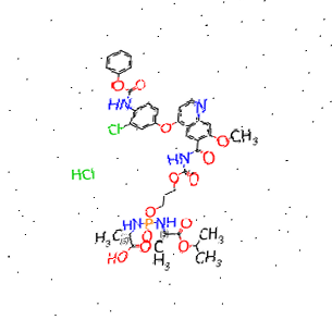 COc1cc2nccc(Oc3ccc(NC(=O)Oc4ccccc4)c(Cl)c3)c2cc1C(=O)NC(=O)OCCCOP(=O)(N[C@@H](C)C(=O)O)N[C@@H](C)C(=O)OC(C)C.Cl